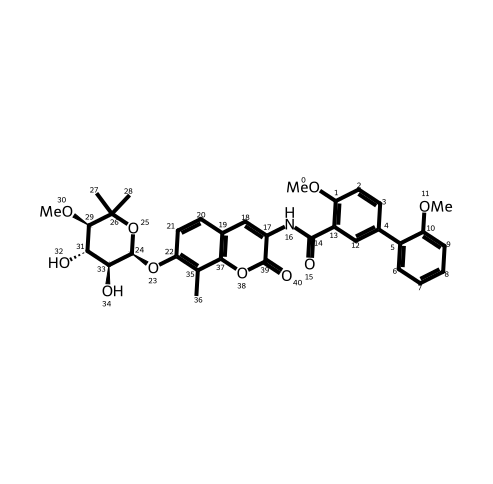 COc1ccc(-c2ccccc2OC)cc1C(=O)Nc1cc2ccc(O[C@@H]3OC(C)(C)[C@H](OC)[C@@H](O)[C@@H]3O)c(C)c2oc1=O